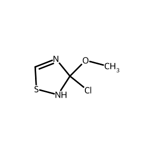 COC1(Cl)N=CSN1